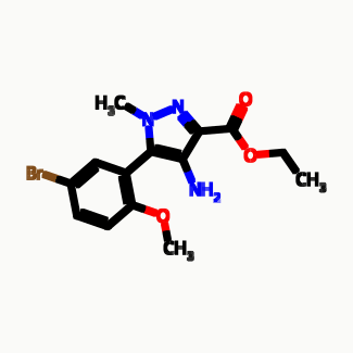 CCOC(=O)c1nn(C)c(-c2cc(Br)ccc2OC)c1N